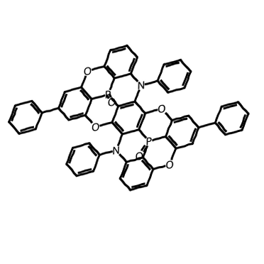 O=P12c3c4cc(-c5ccccc5)cc3Oc3c5c6c(c(c31)N(c1ccccc1)c1cccc(c12)O4)Oc1cc(-c2ccccc2)cc2c1P6(=O)c1c(cccc1N5c1ccccc1)O2